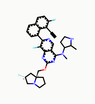 C#Cc1c(F)ccc2cccc(-c3ncc4c(N(C)C5CCNC5C)nc(OC[C@@]56CCCN5C[C@H](F)C6)nc4c3F)c12